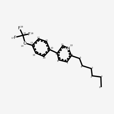 CCCCCCc1ccc(-c2ccc(OC(F)(F)F)cc2)cn1